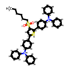 CCCCCCS(=O)(=O)c1cc(-c2ccc(N(c3ccccc3)c3ccccc3)cc2)sc1-c1ccc(N(c2ccccc2)c2ccccc2)cc1